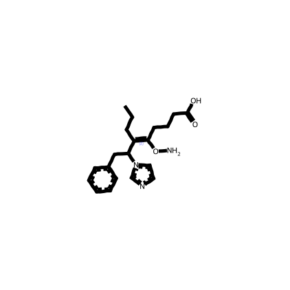 CCC/C(=C(\CCCC(=O)O)ON)C(Cc1ccccc1)n1ccnc1